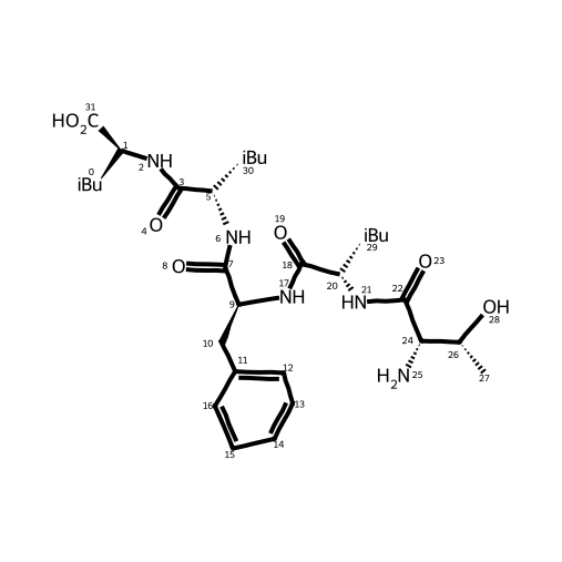 CC[C@H](C)[C@H](NC(=O)[C@@H](NC(=O)[C@H](Cc1ccccc1)NC(=O)[C@@H](NC(=O)[C@@H](N)[C@@H](C)O)[C@@H](C)CC)[C@@H](C)CC)C(=O)O